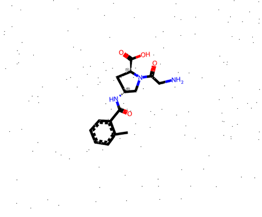 Cc1ccccc1C(=O)N[C@@H]1C[C@@H](C(=O)O)N(C(=O)CN)C1